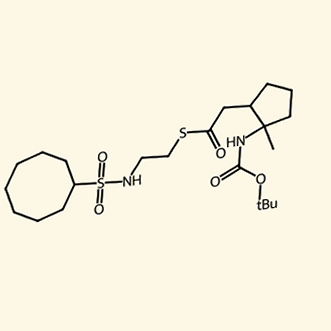 CC(C)(C)OC(=O)NC1(C)CCCC1CC(=O)SCCNS(=O)(=O)C1CCCCCCC1